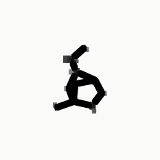 CNN1CC2(C)CC1CO2